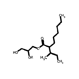 CCCCCCC(C(=O)OCC(O)CO)C(C)CC